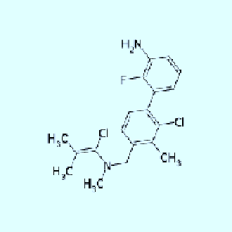 CC(C)=C(Cl)N(C)Cc1ccc(-c2cccc(N)c2F)c(Cl)c1C